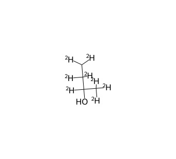 [2H]C([2H])C([2H])([2H])C([2H])(O)C([2H])([2H])[2H]